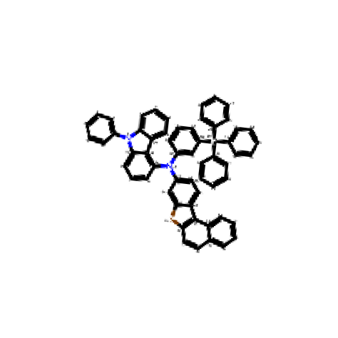 c1ccc(-n2c3ccccc3c3c(N(c4cccc([Si](c5ccccc5)(c5ccccc5)c5ccccc5)c4)c4ccc5c(c4)sc4ccc6ccccc6c45)cccc32)cc1